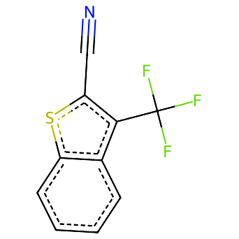 N#Cc1sc2ccccc2c1C(F)(F)F